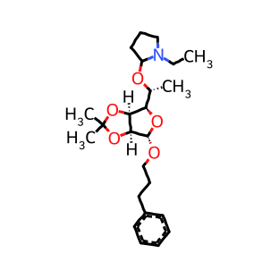 CCN1CCCC1O[C@H](C)[C@H]1O[C@H](OCCCc2ccccc2)[C@H]2OC(C)(C)O[C@H]21